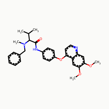 COc1cc2nccc(Oc3ccc(NC(=O)C(C(C)C)N(C)Cc4ccccc4)cc3)c2cc1OC